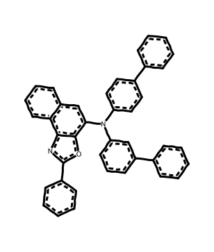 c1ccc(-c2ccc(N(c3cccc(-c4ccccc4)c3)c3cc4ccccc4c4nc(-c5ccccc5)oc34)cc2)cc1